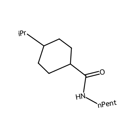 CCCCCNC(=O)C1CCC(C(C)C)CC1